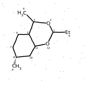 CCC1OC(C)C2CC[C@@H](C)CC2O1